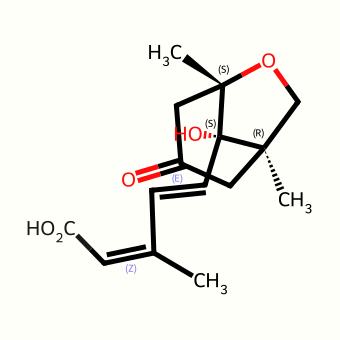 CC(=C/C(=O)O)/C=C/[C@]1(O)[C@@]2(C)CO[C@@]1(C)CC(=O)C2